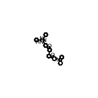 C1=Cc2c(c3ccccc3n2C2=Cc3oc4c(-c5ccc6oc7cc(C8N=C(c9ccccc9)N=C(c9ccccc9)N8)ccc7c6c5)cccc4c3CC2)CC1